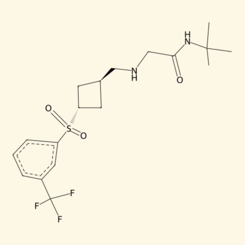 CC(C)(C)NC(=O)CNC[C@H]1C[C@H](S(=O)(=O)c2cccc(C(F)(F)F)c2)C1